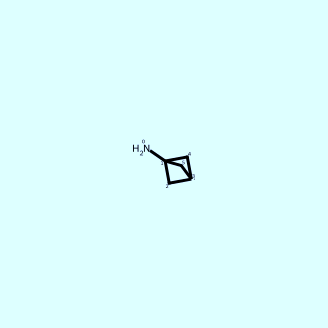 NC12C[C](C1)C2